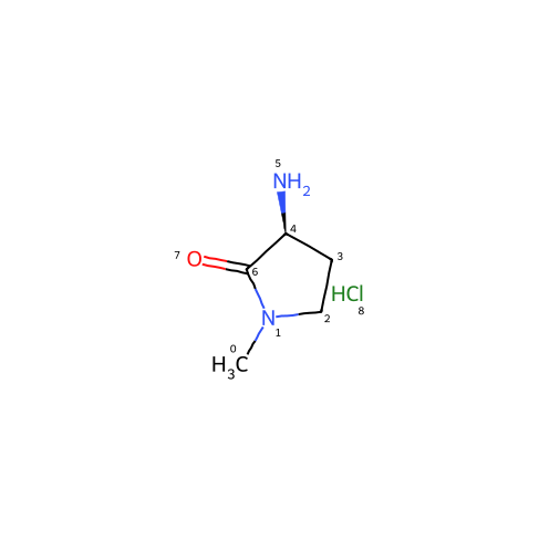 CN1CC[C@H](N)C1=O.Cl